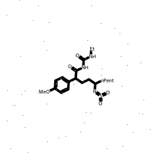 CCCCCC(CCC(C(=O)NC(=O)NCC)c1ccc(OC)cc1)N=S(=O)=O